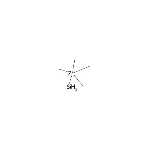 [CH3][Zr]([CH3])([CH3])([CH3])[SiH3]